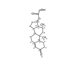 CCCCCCCCCCC(=O)O[C@@H]1CCC2C3CCC4=CC(=O)CC[C@]4(C)C3CC[C@@]21C